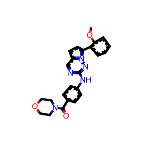 COc1ccccc1-c1ccc2cnc(Nc3ccc(C(=O)N4CCOCC4)cc3)nn12